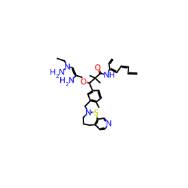 C=C/C=C\C=C(/C=C)NC(=O)C(C)(C)C(OC/C(N)=C/N(N)CC)c1ccc(C)c(CN2CCCc3ccncc3S2)c1